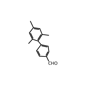 Cc1cc(C)c(-c2ccc(C=O)cc2)c(C)c1